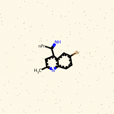 CCCC(=N)c1cc(C)nc2ccc(Br)cc12